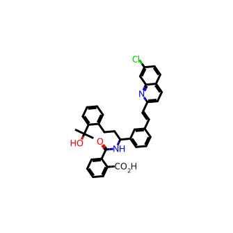 CC(C)(O)c1ccccc1CCC(NC(=O)c1ccccc1C(=O)O)c1cccc(/C=C/c2ccc3ccc(Cl)cc3n2)c1